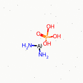 O=P(O)(O)O.[NH2][Al][NH2]